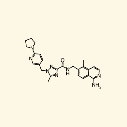 Cc1c(CNC(=O)c2nc(C)n(Cc3ccc(N4CCCC4)nc3)n2)ccc2c(N)nccc12